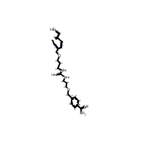 C=C(C=N)/C=C\C(=C/C)COCCCNC(=N)NCCCOCc1ccc(C(=N)N)cc1